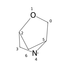 C1OC2C[N]C1C2